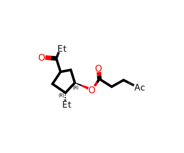 CCC(=O)C1C[C@@H](CC)[C@H](OC(=O)CCC(C)=O)C1